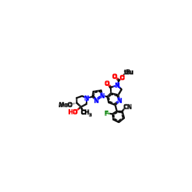 CO[C@@H]1CCN(c2ccn(-c3cc(-c4c(F)cccc4C#N)nc4c3C(=O)N(C(=O)OC(C)(C)C)C4)n2)C[C@]1(C)O